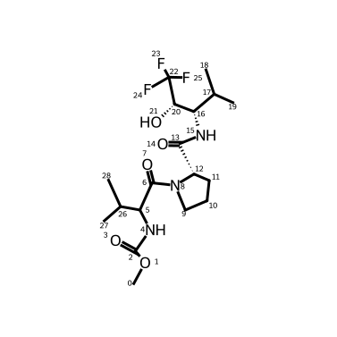 COC(=O)NC(C(=O)N1CCC[C@H]1C(=O)N[C@@H](C(C)C)[C@H](O)C(F)(F)F)C(C)C